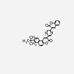 CC(C)(C)c1ccc2c(ccc3oc(=O)c(-c4cnc(-c5cc6ccccc6oc5=O)cn4)cc32)c1